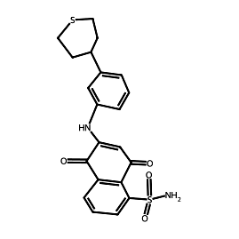 NS(=O)(=O)c1cccc2c1C(=O)C=C(Nc1cccc(C3CCSCC3)c1)C2=O